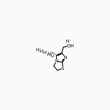 OCc1cn2c(n1)SCC2.[Al+3].[H-].[H-].[H-].[H-].[Li+]